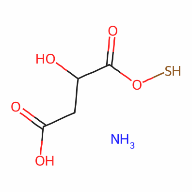 N.O=C(O)CC(O)C(=O)OS